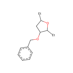 CCC1CC(OCc2ccccc2)C(CC)O1